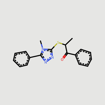 CC(Sc1nnc(-c2ccccc2)n1C)C(=O)c1ccccc1